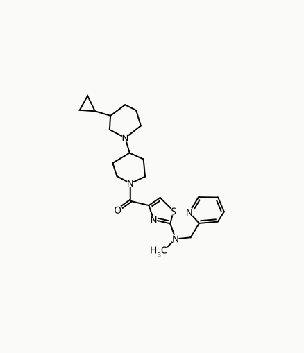 CN(Cc1ccccn1)c1nc(C(=O)N2CCC(N3CCCC(C4CC4)C3)CC2)cs1